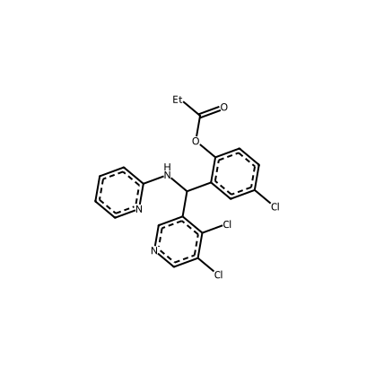 CCC(=O)Oc1ccc(Cl)cc1C(Nc1ccccn1)c1cncc(Cl)c1Cl